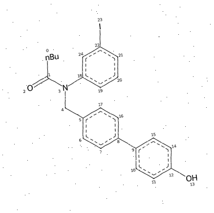 CCCCC(=O)N(Cc1ccc(-c2ccc(O)cc2)cc1)c1cccc(I)c1